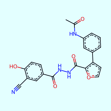 CC(=O)Nc1cccc(-c2ccoc2C(=O)NNC(=O)c2ccc(O)c(C#N)c2)c1